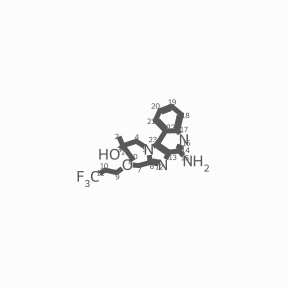 CC(C)(O)Cn1c(COCCC(F)(F)F)nc2c(N)nc3ccccc3c21